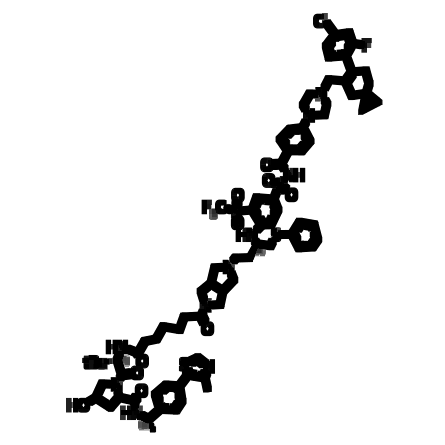 Cc1ncsc1-c1ccc([C@H](C)NC(=O)C2CC(O)CN2C(=O)[C@@H](NC(=O)CCCCCC(=O)N2CC3CN(CC[C@H](CSc4ccccc4)Nc4ccc(S(=O)(=O)NC(=O)c5ccc(N6CCN(CC7=C(c8ccc(Cl)cc8F)CCC8(CC8)C7)CC6)cc5)cc4S(=O)(=O)C(F)(F)F)CC3C2)C(C)(C)C)cc1